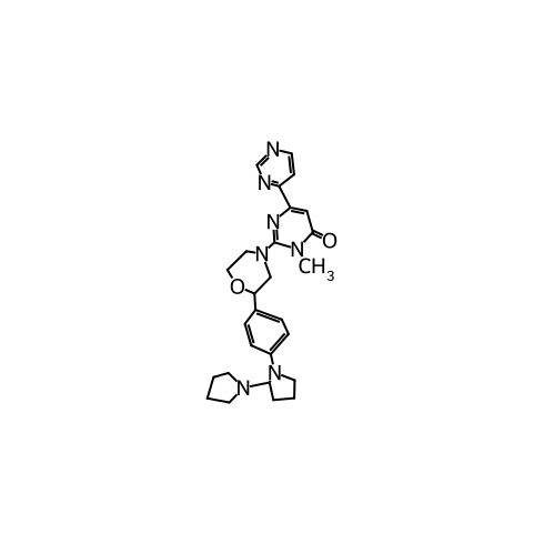 Cn1c(N2CCOC(c3ccc(N4CCCC4N4CCCC4)cc3)C2)nc(-c2ccncn2)cc1=O